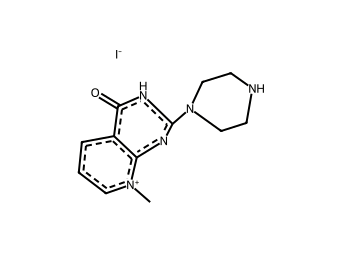 C[n+]1cccc2c(=O)[nH]c(N3CCNCC3)nc21.[I-]